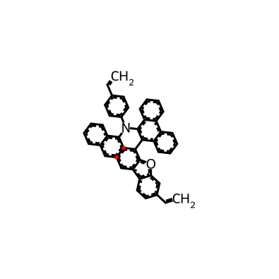 C=Cc1ccc(N(c2cccc3ccccc23)c2c(-c3cccc4c3oc3cc(C=C)ccc34)c3ccccc3c3ccccc23)cc1